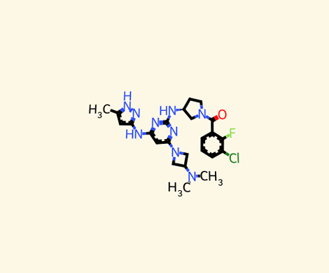 Cc1cc(Nc2cc(N3CC(N(C)C)C3)nc(N[C@H]3CCN(C(=O)c4cccc(Cl)c4F)C3)n2)n[nH]1